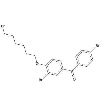 O=C(c1ccc(Br)cc1)c1ccc(OCCCCCCBr)c(Br)c1